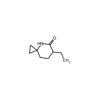 CCC1CCC2(CC2)NC1=O